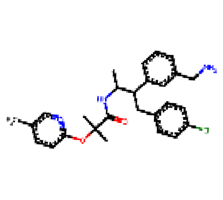 CC(NC(=O)C(C)(C)Oc1ccc(C(F)(F)F)cn1)C(Cc1ccc(Cl)cc1)c1cccc(CN)c1